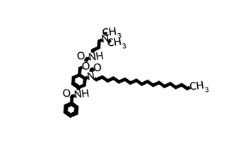 CCCCCCCCCCCCCCCCCCN(C=O)C1CC(NC(=O)c2ccccc2)=CCC1COC(=O)NCCCN(C)C